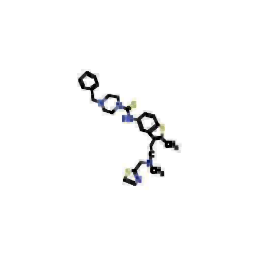 Cc1sc2ccc(NC(=S)N3CCN(Cc4ccccc4)CC3)cc2c1CCN(C)Cc1nccs1